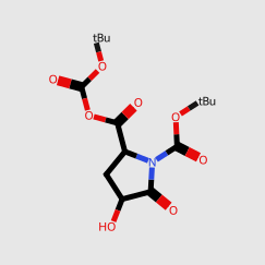 CC(C)(C)OC(=O)OC(=O)C1CC(O)C(=O)N1C(=O)OC(C)(C)C